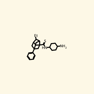 CCC1C2CC3(c4ccccc4)CC1C(C(=S)NC1CCC(N)CC1)(C2)C3